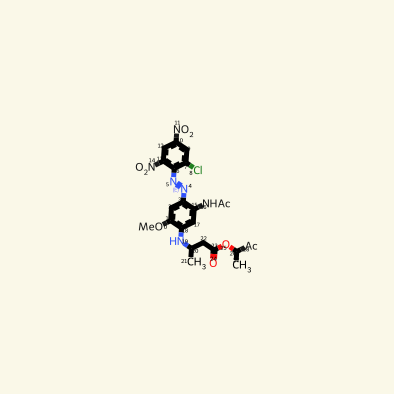 COc1cc(/N=N/c2c(Cl)cc([N+](=O)[O-])cc2[N+](=O)[O-])c(NC(C)=O)cc1NC(C)CC(=O)OC(C)C(C)=O